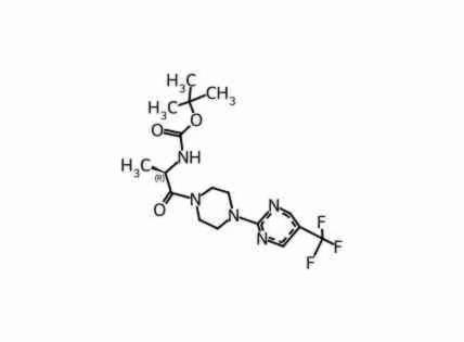 C[C@@H](NC(=O)OC(C)(C)C)C(=O)N1CCN(c2ncc(C(F)(F)F)cn2)CC1